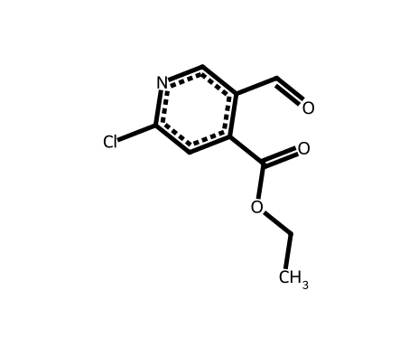 CCOC(=O)c1cc(Cl)ncc1C=O